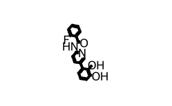 O=C(Nc1ccc(-c2cccc(O)c2O)cn1)c1ccccc1F